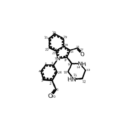 O=Cc1cccc(-n2c(C3CNCCN3)c(C=O)c3ccccc32)c1